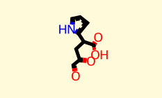 O=CC(=O)CC(C(=O)O)c1ccc[nH]1